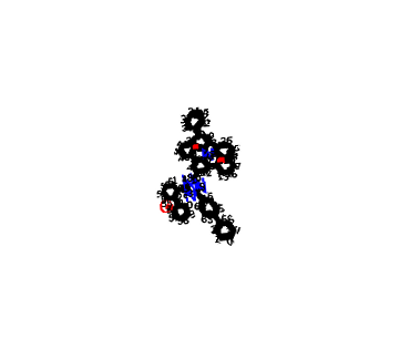 c1ccc(-c2ccc(-c3nc(-c4cc(-c5ccccc5)c(-n5c6ccccc6c6cc(-c7ccccc7)ccc65)c(-c5ccccc5)c4)nc(-c4cccc5oc6ccccc6c45)n3)cc2)cc1